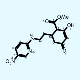 COC(=O)C1C(O)=CC(=O)CC1CCSc1ccc([N+](=O)[O-])cn1